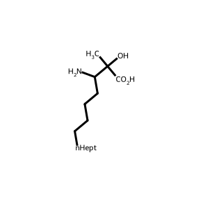 CCCCCCCCCCCC(N)C(C)(O)C(=O)O